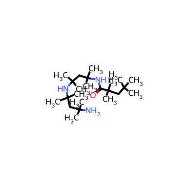 CC(C)(C)CC(C)(C)C(=O)NC(C)(C)CC(C)(C)NC(C)(C)CC(C)(C)N